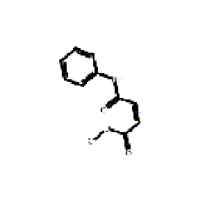 O=C(/C=C\C(=O)OCl)Nc1ccccc1